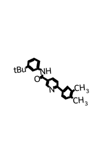 Cc1ccc(-c2ccc(C(=O)Nc3cccc(C(C)(C)C)c3)cn2)cc1C